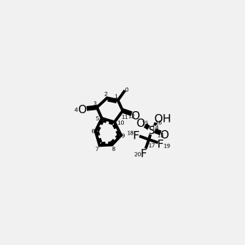 CC1=CC(=O)c2ccccc2C1=O.O=S(=O)(O)C(F)(F)F